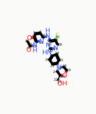 O=C1COc2ccc(Nc3nc(Nc4ccc(N5CCO[C@@H](CO)C5)cc4)ncc3F)nc2N1